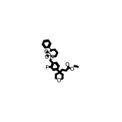 CCOC(=O)CCC1(c2ccc(CN3CCC[C@H](c4ccccc4)S3(=O)=O)c(F)c2)CCOCC1